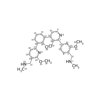 CNCc1ccc(-c2nccc(-c3cccc(-c4ccc(CNC)c(OC)n4)c3Cl)c2Cl)cc1OC